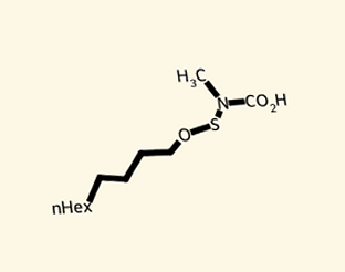 CCCCCCCCCCOSN(C)C(=O)O